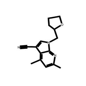 Cc1cc(C)c2c(C#N)cn(CC3CCCO3)c2n1